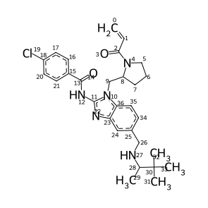 C=CC(=O)N1CCCC1Cn1c(NC(=O)c2ccc(Cl)cc2)nc2cc(CNC(C)C(C)(C)C)ccc21